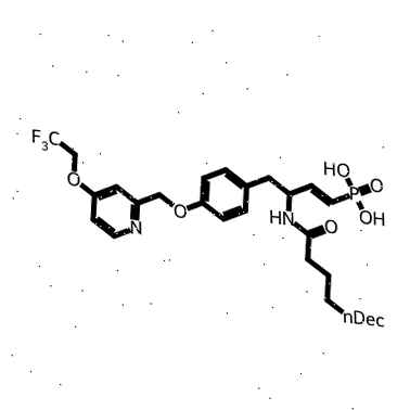 CCCCCCCCCCCCCC(=O)NC(C=CP(=O)(O)O)Cc1ccc(OCc2cc(OCC(F)(F)F)ccn2)cc1